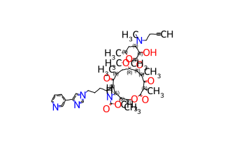 C#CCCN(C)[C@H]1C[C@@H](C)O[C@@H](O[C@@H]2[C@@H](C)C(=O)[C@@H](C)C(=O)O[C@H](C)[C@@]3(C)OC(=O)N4C(CCCn5cnc(-c6cccnc6)c5)[C@@H](C(=O)[C@H](C)C[C@@]2(C)OC)[C@H]43)[C@@H]1O